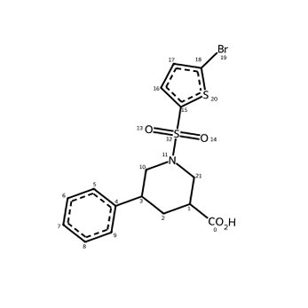 O=C(O)C1CC(c2ccccc2)CN(S(=O)(=O)c2ccc(Br)s2)C1